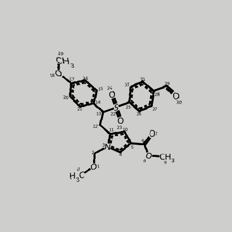 COCn1cc(C(=O)OC)cc1CC(c1ccc(OC)cc1)S(=O)(=O)c1ccc(C=O)cc1